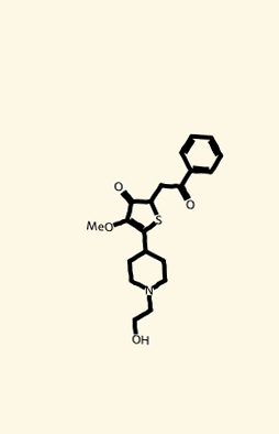 COC1=C(C2CCN(CCO)CC2)SC(CC(=O)c2ccccc2)C1=O